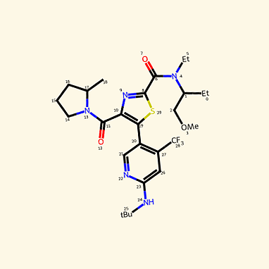 CCC(COC)N(CC)C(=O)c1nc(C(=O)N2CCCC2C)c(-c2cnc(NC(C)(C)C)cc2C(F)(F)F)s1